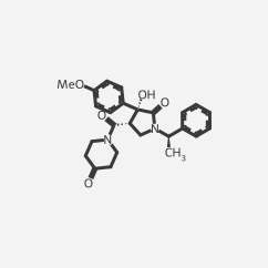 COc1ccc([C@@]2(O)C(=O)N([C@H](C)c3ccccc3)C[C@@H]2C(=O)N2CCC(=O)CC2)cc1